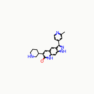 Cc1cc(-c2n[nH]c3cc4[nH]c(=O)c(C5CCCNC5)cc4cc23)ccn1